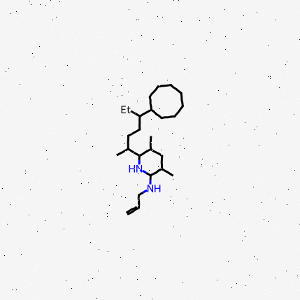 C=CCNC1NC(C(C)CCC(CC)C2CCCCCCC2)C(C)CC1C